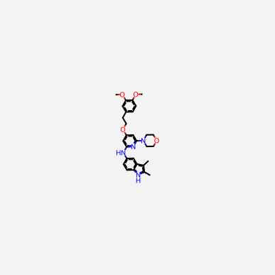 COc1ccc(CCOc2cc(Nc3ccc4[nH]c(C)c(C)c4c3)nc(N3CCOCC3)c2)cc1OC